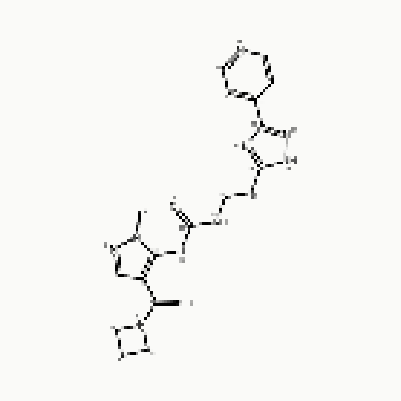 Cn1ncc(C(=O)N2CCC2)c1OC(=O)NCCc1nc(-c2ccncc2)n[nH]1